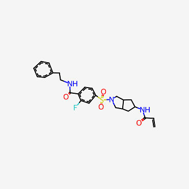 C=CC(=O)NC1CC2CN(S(=O)(=O)c3ccc(C(=O)NCCc4ccccc4)c(F)c3)CC2C1